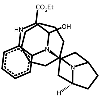 CCOC(=O)C1Nc2ccccc2N([C@H]2CC3CC[C@@H](C2)N3C2CCCCCCC2)C1O